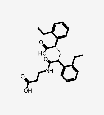 CCc1ccccc1[C@H](C[C@@H](C(=O)NCCC(=O)O)c1ccccc1CC)C(=O)O